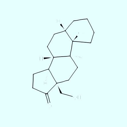 C[C@]12CCCC[C@H]1CC[C@H]1[C@@H]3CCC(=O)[C@@]3(CO)CC[C@@H]12